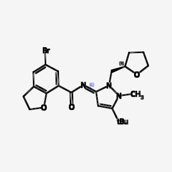 Cn1c(C(C)(C)C)c/c(=N\C(=O)c2cc(Br)cc3c2OCC3)n1C[C@H]1CCCO1